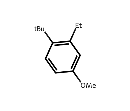 CCc1cc(OC)ccc1C(C)(C)C